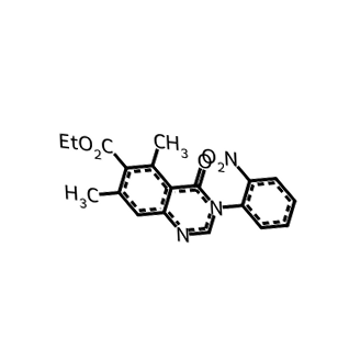 CCOC(=O)c1c(C)cc2ncn(-c3ccccc3[N+](=O)[O-])c(=O)c2c1C